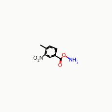 Cc1ccc(C(=O)ON)cc1[N+](=O)[O-]